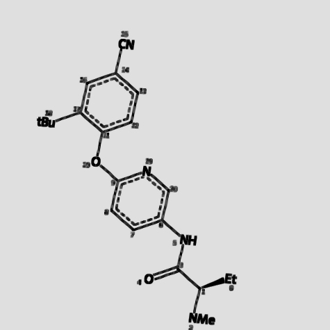 CC[C@@H](NC)C(=O)Nc1ccc(Oc2ccc(C#N)cc2C(C)(C)C)nc1